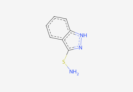 NSc1n[nH]c2ccccc12